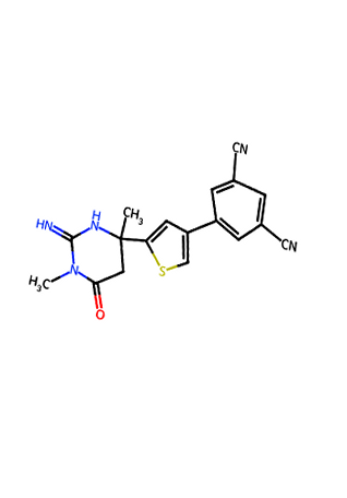 CN1C(=N)NC(C)(c2cc(-c3cc(C#N)cc(C#N)c3)cs2)CC1=O